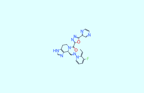 C/C=C1/C(F)=CC=CN1/N=C/[C@H]1c2nc[nH]c2CCN1C(=O)c1nnc(-c2cnccn2)o1